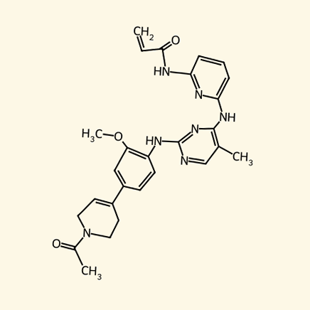 C=CC(=O)Nc1cccc(Nc2nc(Nc3ccc(C4=CCN(C(C)=O)CC4)cc3OC)ncc2C)n1